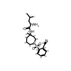 CC(C)C[C@H](N)C(=O)NC1(C)CCCN(S(=O)(=O)c2ccccc2C#N)CC1